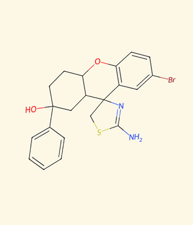 NC1=NC2(CS1)c1cc(Br)ccc1OC1CCC(O)(c3ccccc3)CC12